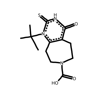 CC(C)(C)n1c2c(c(=O)[nH]c1=S)CCN(C(=O)O)CC2